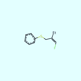 CC/C(=C/F)CSc1ccccc1